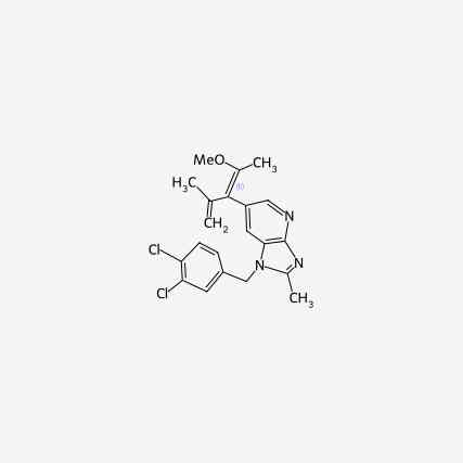 C=C(C)/C(=C(/C)OC)c1cnc2nc(C)n(Cc3ccc(Cl)c(Cl)c3)c2c1